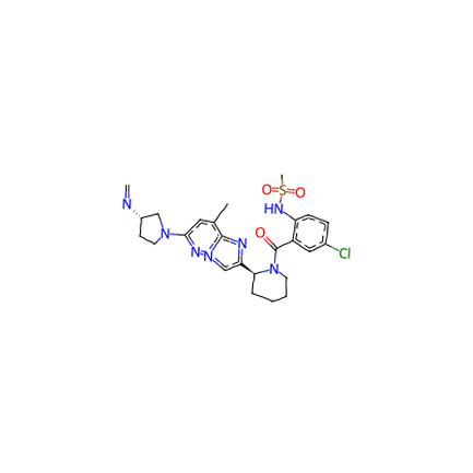 C=N[C@H]1CCN(c2cc(C)c3nc([C@@H]4CCCCN4C(=O)c4cc(Cl)ccc4NS(C)(=O)=O)cn3n2)C1